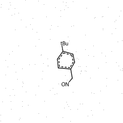 CC(C)(C)c1ccc(CN=O)cc1